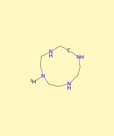 [2H]N1CCNCCNCCNCC1